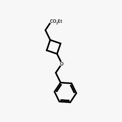 CCOC(=O)CC1CC(OCc2ccccc2)C1